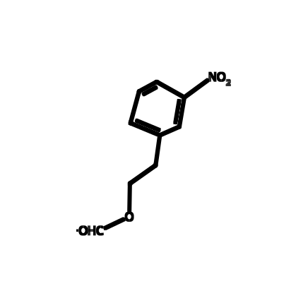 O=[C]OCCc1cccc([N+](=O)[O-])c1